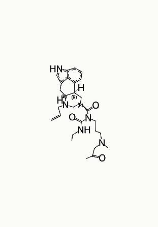 C=CCN1C[C@H](C(=O)N(CCCN(C)CC(C)=O)C(=O)NCC)C[C@@H]2c3cccc4[nH]cc(c34)C[C@H]21